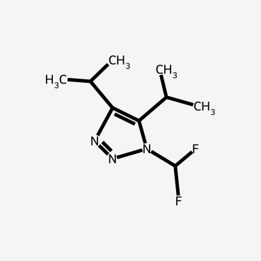 CC(C)c1nnn(C(F)F)c1C(C)C